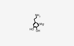 NCCc1ccc(O)c(O)c1.[Mg]